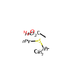 CC(=O)O.CCCSCCC.O.[CaH2]